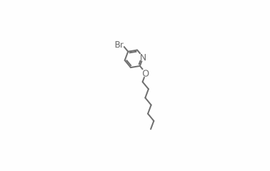 CCCCCCCOc1ccc(Br)cn1